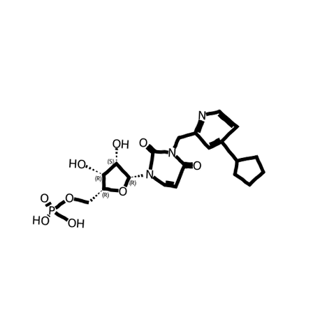 O=c1ccn([C@@H]2O[C@H](COP(=O)(O)O)[C@H](O)[C@@H]2O)c(=O)n1Cc1cc(C2CCCC2)ccn1